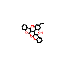 CCc1ccc(C(c2c(O)c3ccccc3oc2=O)c2c(O)c3ccccc3oc2=O)cc1